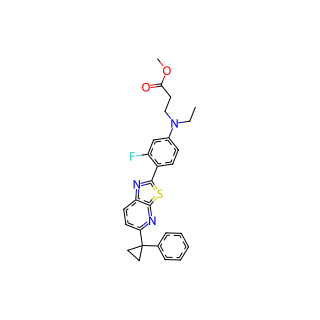 CCN(CCC(=O)OC)c1ccc(-c2nc3ccc(C4(c5ccccc5)CC4)nc3s2)c(F)c1